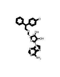 Nc1ncnc2c1ncn2[C@@H]1O[C@H](COCC(c2ccccc2)c2ccc(Cl)cc2)[C@@H](O)[C@H]1O